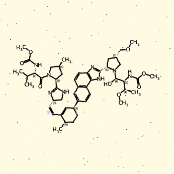 COC[C@H]1C[C@@H](c2nc3ccc4cc([C@@H]5C=C(/C=C\[C@H]6CNC([C@@H]7C[C@H](C)CN7C(=O)[C@@H](NC(=O)OC)C(C)C)=N6)[C@H](C)CC5)ccc4c3[nH]2)N([C@H](O)[C@@H](NC(=O)OC)[C@@H](C)OC)C1